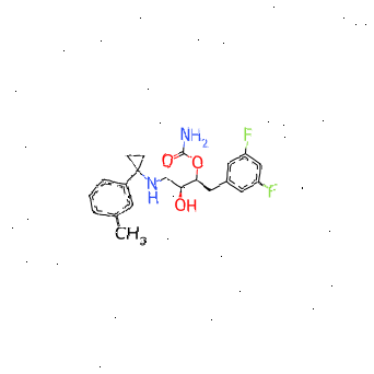 Cc1cccc(C2(NC[C@H](O)[C@H](Cc3cc(F)cc(F)c3)OC(N)=O)CC2)c1